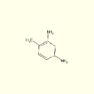 CC1=C(N)C[C](N)C=C1